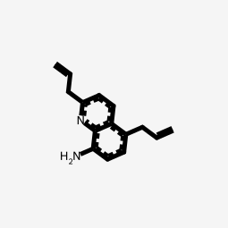 C=CCc1ccc2c(CC=C)ccc(N)c2n1